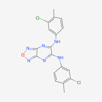 Cc1ccc(Nc2nc3nonc3nc2Nc2ccc(C)c(Cl)c2)cc1Cl